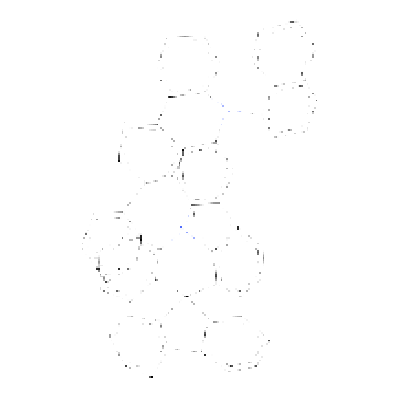 c1ccc(-c2ccc(-c3ccccc3N(c3ccc4c(c3)c3cccc5c3n4-c3ccccc3C53c4ccccc4-c4ccccc43)c3cccc4ccccc34)cc2)cc1